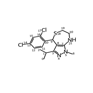 CC(C)c1nn(C)c2c1C(c1ccc(Cl)cc1Cl)SCCN2